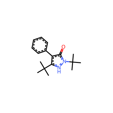 CC(C)(C)c1[nH]n(C(C)(C)C)c(=O)c1-c1ccccc1